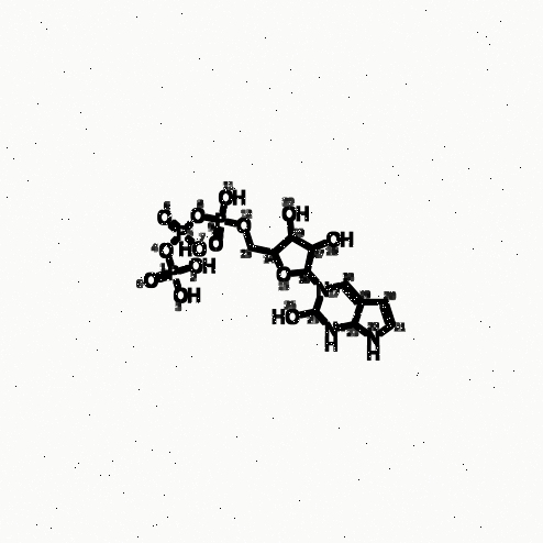 O=P(O)(O)OP(=O)(O)OP(=O)(O)OCC1OC(N2C=C3C=CNC3NC2O)C(O)C1O